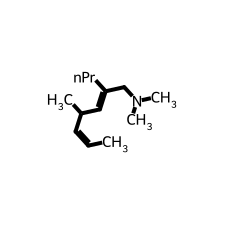 C/C=C\C(C)/C=C(\CCC)CN(C)C